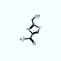 NC(=O)c1csc(CO)n1